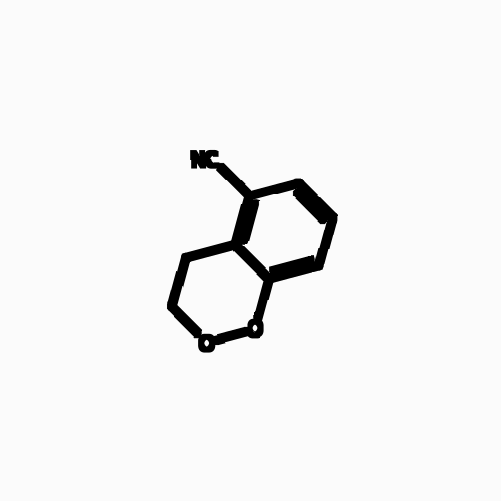 N#Cc1cccc2c1CCOO2